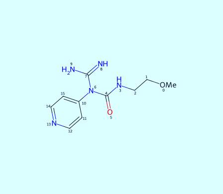 COCCNC(=O)N(C(=N)N)c1ccncc1